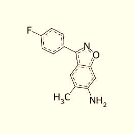 Cc1cc2c(-c3ccc(F)cc3)noc2cc1N